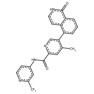 Cc1cc(C(=O)Nc2ccnc(C(F)(F)F)c2)ncc1-c1cccc2c(=O)[nH]ccc12